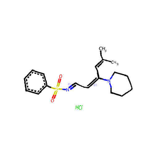 CC(C)=C/C(=C\C=N\S(=O)(=O)c1ccccc1)N1CCCCC1.Cl